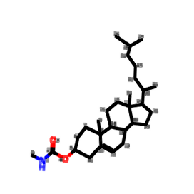 CNC(=O)OC1CCC2(C)C(=CCC3C2CCC2(C)C(C(C)CCCC(C)C)CCC32)C1